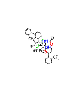 CCC(=O)N[B](NC(=O)CC)[Zr]([Cl])([Cl])([CH]1C(C(C)C)=Cc2c(-c3ccccc3C(F)(F)F)cccc21)[CH]1C(C(C)C)=Cc2c(-c3ccccc3C(F)(F)F)cccc21